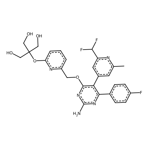 Cc1cc(-c2c(OCc3cccc(OC(CO)(CO)CO)n3)nc(N)nc2-c2ccc(F)cc2)cc(C(F)F)n1